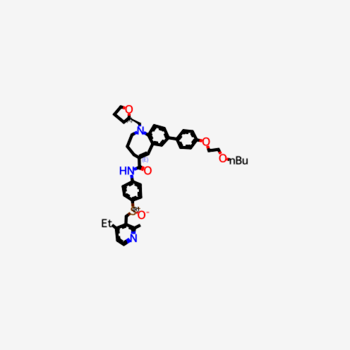 CCCCOCCOc1ccc(-c2ccc3c(c2)/C=C(/C(=O)Nc2ccc([S@@+]([O-])Cc4c(CC)ccnc4C)cc2)CCCN3C[C@H]2CCCO2)cc1